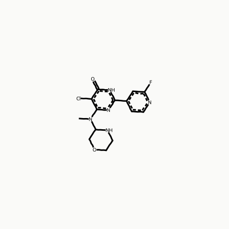 CN(c1nc(-c2ccnc(F)c2)[nH]c(=O)c1Cl)C1COCCN1